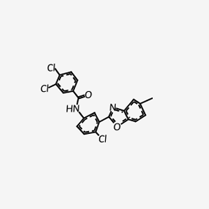 Cc1ccc2oc(-c3cc(NC(=O)c4ccc(Cl)c(Cl)c4)ccc3Cl)nc2c1